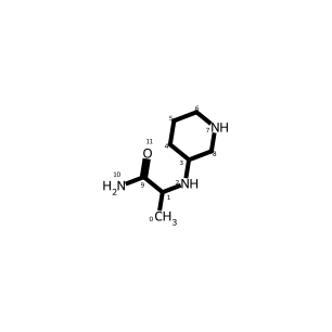 CC(NC1CCCNC1)C(N)=O